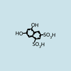 O=S(=O)(O)c1cc(S(=O)(=O)O)c2cc(O)cc(O)c2c1